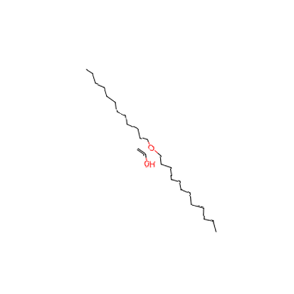 C=CO.CCCCCCCCCCCCOCCCCCCCCCCCC